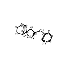 c1cncc(OC2=NOC3(C2)CN2CCC3CC2)c1